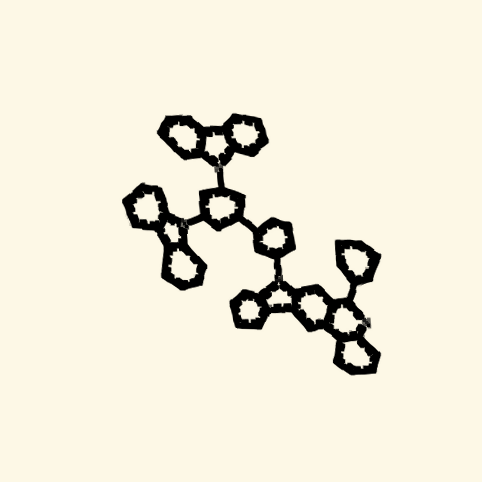 c1ccc(-c2nc3ccccc3c3cc4c5ccccc5n(-c5cccc(-c6cc(-n7c8ccccc8c8ccccc87)cc(-n7c8ccccc8c8ccccc87)c6)c5)c4cc23)cc1